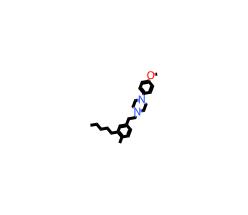 CCCCCc1cc(CCN2CCN(c3ccc(OC)cc3)CC2)ccc1C